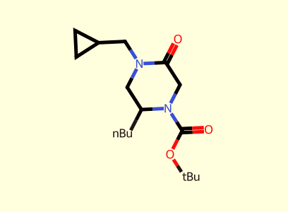 CCCCC1CN(CC2CC2)C(=O)CN1C(=O)OC(C)(C)C